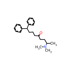 CC(CCC(=O)CCCC(c1ccccc1)c1ccccc1)N(C)C